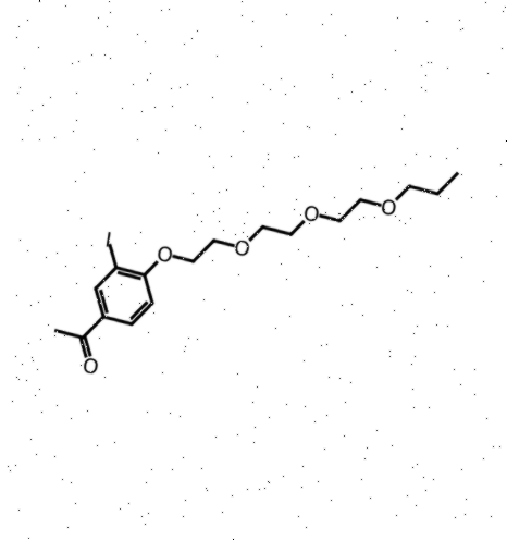 CCCOCCOCCOCCOc1ccc(C(C)=O)cc1I